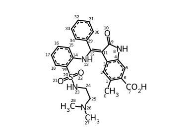 Cc1cc2c(cc1C(=O)O)NC(=O)C2=C(Nc1ccccc1S(=O)(=O)NCCN(C)C)c1ccccc1